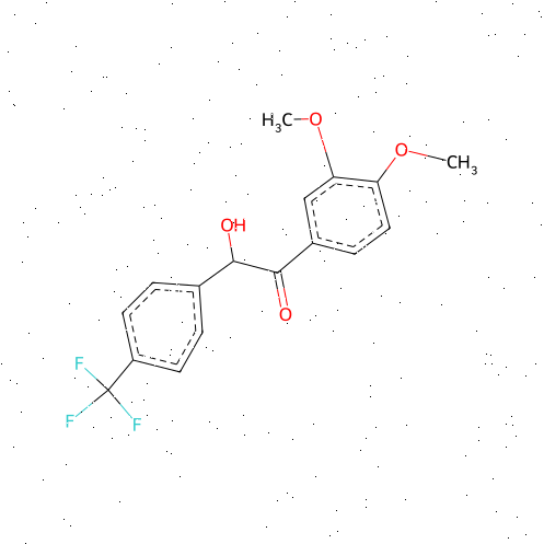 COc1ccc(C(=O)C(O)c2ccc(C(F)(F)F)cc2)cc1OC